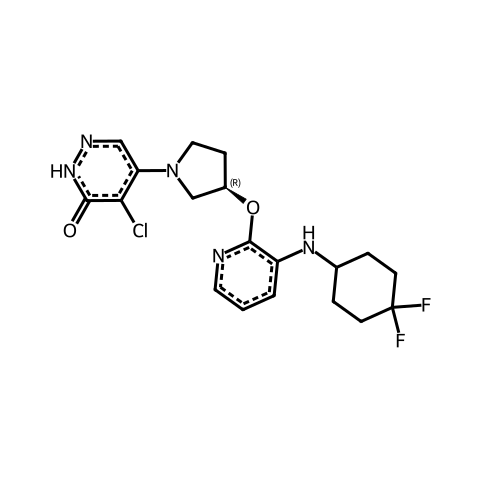 O=c1[nH]ncc(N2CC[C@@H](Oc3ncccc3NC3CCC(F)(F)CC3)C2)c1Cl